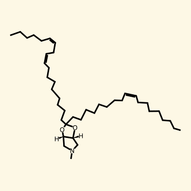 CCCCC/C=C\C/C=C\CCCCCCCCC1(CCCCCCCC/C=C\CCCCCCCC)O[C@H]2CN(C)C[C@H]2O1